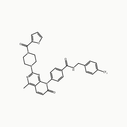 Cc1nc(N2CCN(C(=O)c3ccco3)CC2)nc2c1ccc(=O)n2-c1ccc(C(=O)NCc2ccc(C(F)(F)F)cc2)cc1